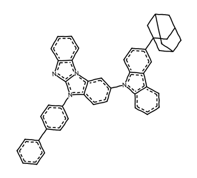 c1ccc(-c2ccc(-n3c4ccc(-n5c6ccccc6c6cc(C78CC9CC(CC(C9)C7)C8)ccc65)cc4n4c5ccccc5nc34)cc2)cc1